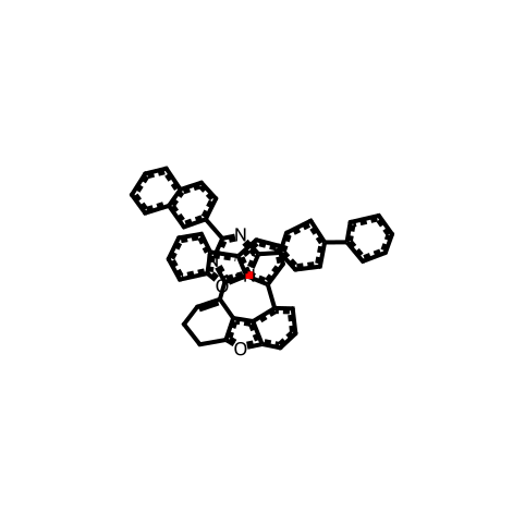 C1=C(c2nc(-c3ccc(-c4ccccc4)cc3)nc(-c3ccc4ccccc4c3)n2)c2c(oc3cccc(-c4cccc5c4oc4ccccc45)c23)CC1